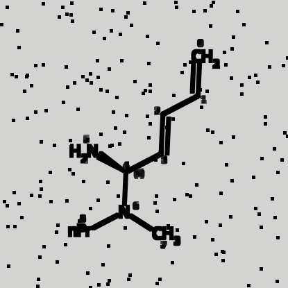 C=CC=C[C@H](N)N(C)CCC